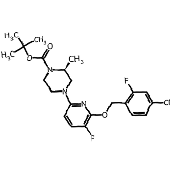 C[C@H]1CN(c2ccc(F)c(OCc3ccc(Cl)cc3F)n2)CCN1C(=O)OC(C)(C)C